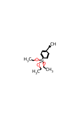 C#Cc1ccc([Si](OCC)(OCC)OCC)cc1